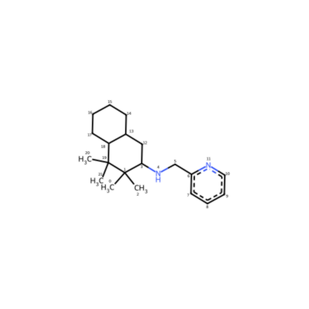 CC1(C)C(NCc2ccccn2)CC2CCCCC2C1(C)C